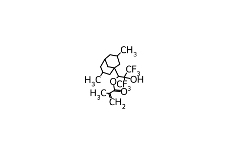 C=C(C)C(=O)OC(C12CC(C)CC(CC(C)C1)C2)C(O)(C(F)(F)F)C(F)(F)F